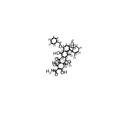 COc1cc(OCc2ccccc2)c2c(O)c3c(c4c2c1[C@]1(C4)C(C)=CCCC1(C)C)[C@@H](OC)[C@H]1CC(O)=C(C(N)=O)C(=O)[C@@]1(O)C3=O